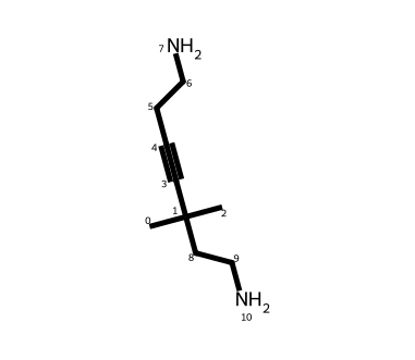 CC(C)(C#CCCN)CCN